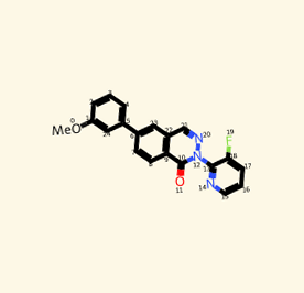 COc1cccc(-c2ccc3c(=O)n(-c4ncccc4F)ncc3c2)c1